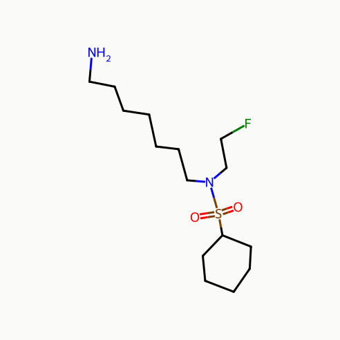 NCCCCCCCN(CCF)S(=O)(=O)C1CCCCC1